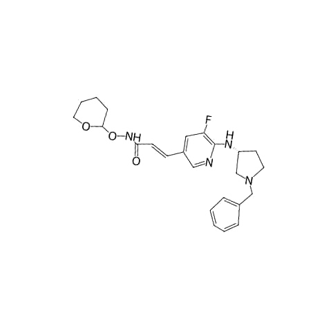 O=C(/C=C/c1cnc(N[C@@H]2CCN(Cc3ccccc3)C2)c(F)c1)NOC1CCCCO1